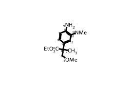 CCOC(=O)C(C)(COC)c1ccc(N)c(NC)c1